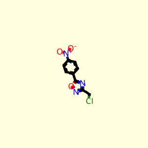 O=[N+]([O-])c1ccc(-c2nc(CCl)no2)cc1